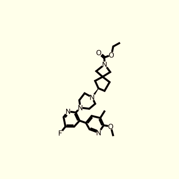 CCOC(=O)N1CC2(CC[C@@H](N3CCN(c4ncc(F)cc4-c4cnc(OC)c(C)c4)CC3)C2)C1